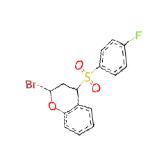 O=S(=O)(c1ccc(F)cc1)C1CC(Br)Oc2ccccc21